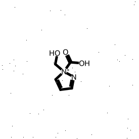 O=C(O)[N+]1(CO)C=CC=N1